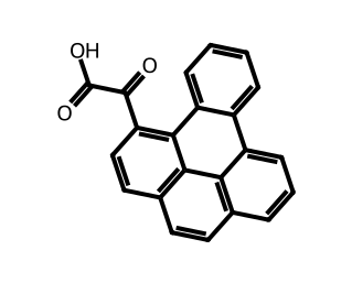 O=C(O)C(=O)c1ccc2ccc3cccc4c5ccccc5c1c2c34